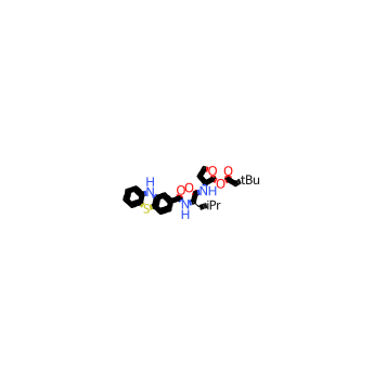 CC(C)C[C@H](NC(=O)c1ccc2c(c1)Nc1ccccc1S2)C(=O)NC1CCOC1OC(=O)CC(C)(C)C